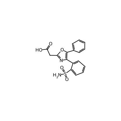 NS(=O)(=O)c1ccccc1-c1nc(CC(=O)O)oc1-c1ccccc1